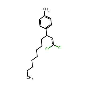 CCCCCCCCC(C=C(Cl)Cl)c1ccc(C)cc1